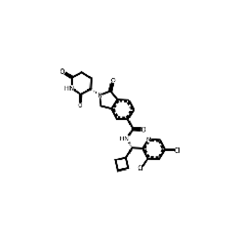 O=C1CC[C@H](N2Cc3cc(C(=O)N[C@H](c4ncc(Cl)cc4Cl)C4CCC4)ccc3C2=O)C(=O)N1